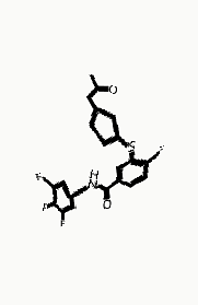 CC(=O)CC1CCC(Sc2cc(C(=O)Nc3cc(F)c(F)c(F)c3)ccc2F)C1